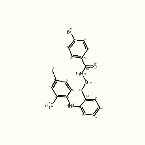 Cc1cc(I)ccc1Nc1ccccc1CONC(=O)c1ccc(Br)cc1